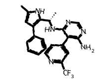 Cc1cc(-c2ccccc2)c([C@H](C)Nc2ncnc(N)c2-c2ccnc(C(F)(F)F)c2)[nH]1